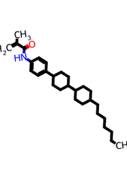 C=C(C)C(=O)Nc1ccc(C2CCC(C3CCC(CCCCCCC)CC3)CC2)cc1